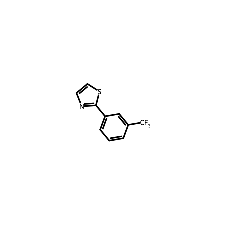 FC(F)(F)c1cccc(-c2n[c]cs2)c1